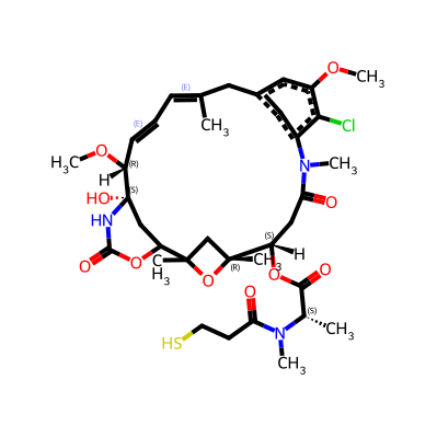 COc1cc2cc(c1Cl)N(C)C(=O)C[C@H](OC(=O)[C@H](C)N(C)C(=O)CCS)[C@@]1(C)CC(C)(O1)C1C[C@@](O)(NC(=O)O1)[C@H](OC)/C=C/C=C(\C)C2